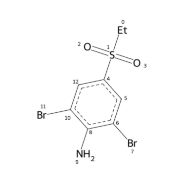 CCS(=O)(=O)c1cc(Br)c(N)c(Br)c1